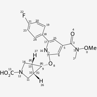 CON(C)C(=O)c1cc(O[C@@H]2[C@@H]3CN(C(=O)O)C[C@@H]32)nc(-c2ccc(F)cc2)c1